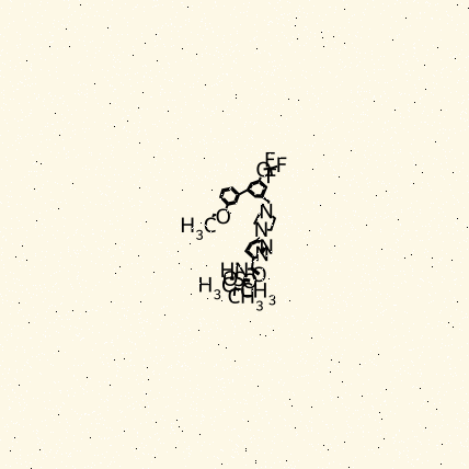 CCOc1cccc(-c2cc(CN3CCN(c4ccc(C(=O)NS(=O)(=O)C(C)(C)C)nn4)CC3)cc(OC(F)(F)F)c2)c1